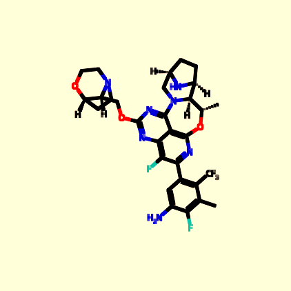 Cc1c(F)c(N)cc(-c2nc3c4c(nc(OC[C@@H]5[C@@H]6CCN5CCO6)nc4c2F)N2C[C@H]4CC[C@H](N4)[C@H]2[C@H](C)O3)c1C(F)(F)F